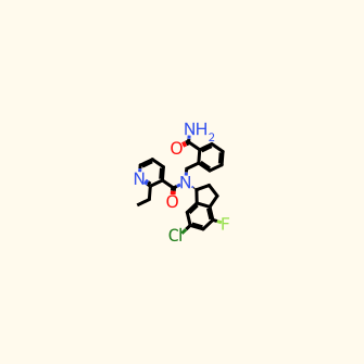 CCc1ncccc1C(=O)N(Cc1ccccc1C(N)=O)[C@@H]1CCc2c(F)cc(Cl)cc21